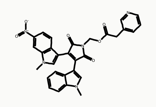 Cn1cc(C2=C(c3cn(C)c4cc([N+](=O)[O-])ccc34)C(=O)N(COC(=O)Cc3cccnc3)C2=O)c2ccccc21